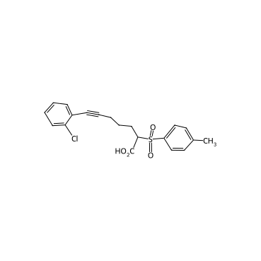 Cc1ccc(S(=O)(=O)C(CCCC#Cc2ccccc2Cl)C(=O)O)cc1